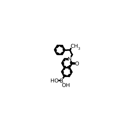 CC(Cn1ccc2cc(B(O)O)ccc2c1=O)c1ccccc1